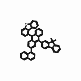 CC1(C)c2ccccc2-c2ccc(-c3c4ccccc4c(-c4cccc5oc6ccccc6c45)c4ccc(-c5cccc6ccccc56)cc34)cc21